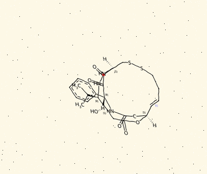 CC(C)[C@H]1NC(=O)[C@H]2CSSCC/C=C/[C@H](CC(=O)N[C@H](c3ccccc3)C(=O)N2)OC(=O)C[C@@H]1O